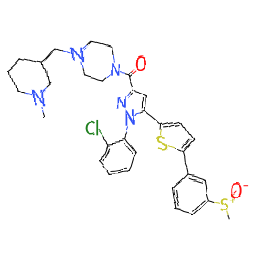 CN1CCCC(CN2CCN(C(=O)c3cc(-c4ccc(-c5cccc([S+](C)[O-])c5)s4)n(-c4ccccc4Cl)n3)CC2)C1